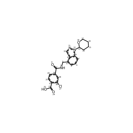 O=C(NCc1cccc2c1cnn2C1CCCCO1)c1ccc(C(=O)O)c(Cl)c1